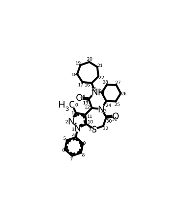 Cc1nn(-c2ccccc2)c2c1C(C(=O)NC1CCCCCC1)N(C1CCCCC1)C(=O)CS2